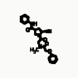 CN(CC(=O)N1CC(C(=O)Nc2ccccc2)CC1C#N)C(=O)COc1ccccc1